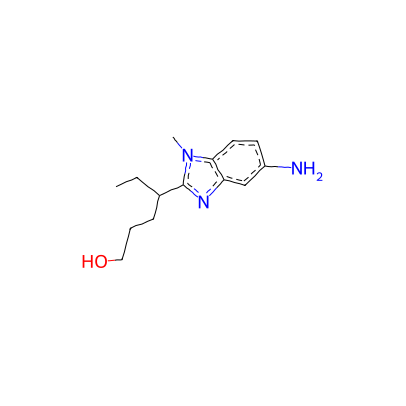 CCC(CCCO)c1nc2cc(N)ccc2n1C